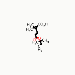 C=CC(C)(C)OC(=O)C=CC1C(C(=O)O)C1(C)C